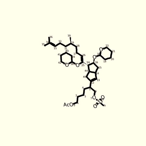 CC(=O)OCCCCC(COS(C)(=O)=O)C1=CC2C[C@H](OC3CCCCO3)[C@@H](C(=CCC[C@H](C)CCC=C(C)C)OC3CCCCO3)C2C1